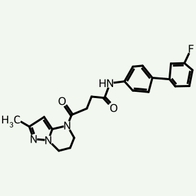 Cc1cc2n(n1)CCCN2C(=O)CCC(=O)Nc1ccc(-c2cccc(F)c2)cc1